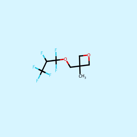 CC1(COC(F)(F)C(F)C(F)(F)F)COC1